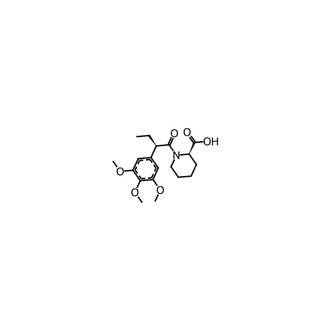 CC[C@@H](C(=O)N1CCCC[C@@H]1C(=O)O)c1cc(OC)c(OC)c(OC)c1